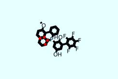 COc1cccc(OC)c1-c1ccccc1P(c1ccccc1)c1cc(O)cc(-c2c(F)c(F)c(F)c(F)c2F)c1O